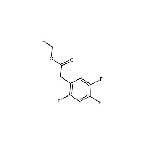 CCOC(=O)Cc1cc(F)c(F)cc1F